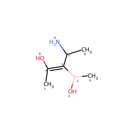 CB(O)/C(=C(\C)O)C(C)N